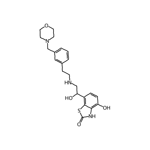 O=c1[nH]c2c(O)ccc(C(O)CNCCc3cccc(CN4CCOCC4)c3)c2s1